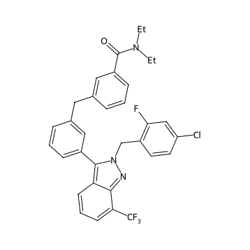 CCN(CC)C(=O)c1cccc(Cc2cccc(-c3c4cccc(C(F)(F)F)c4nn3Cc3ccc(Cl)cc3F)c2)c1